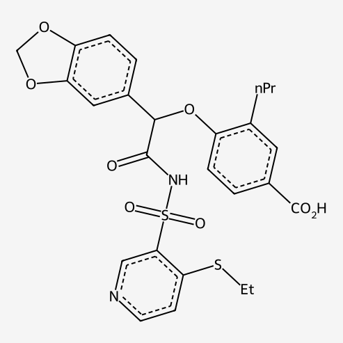 CCCc1cc(C(=O)O)ccc1OC(C(=O)NS(=O)(=O)c1cnccc1SCC)c1ccc2c(c1)OCO2